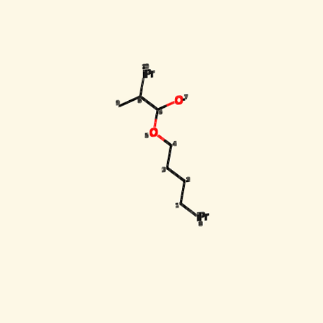 CC(C)CCCCOC([O])C(C)C(C)C